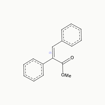 COC(=O)/C(=C\c1ccccc1)c1ccccc1